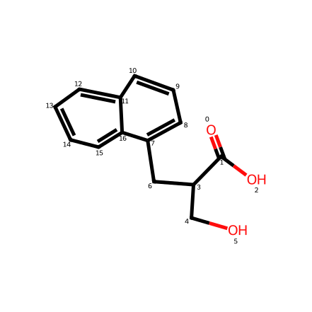 O=C(O)C(CO)Cc1cccc2ccccc12